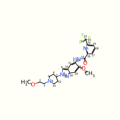 COCCN1CCC(n2cc3cc(NC(=O)c4cccc(C(F)(F)F)n4)c(OC)cc3n2)CC1